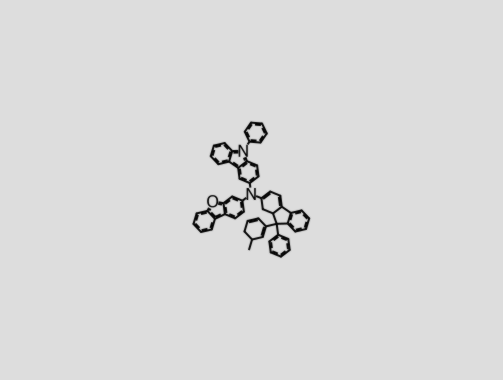 CC1C=C(C2(c3ccccc3)c3ccccc3C3=CC=C(N(c4ccc5c(c4)oc4ccccc45)c4ccc5c(c4)c4ccccc4n5-c4ccccc4)CC32)C=CC1